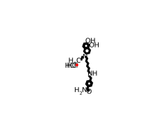 CCCN(CCCCCCNCCc1ccc(C(N)=O)cc1)[C@H]1CCc2c(ccc(O)c2O)C1.Cl.Cl